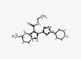 CCOC(=O)c1c(-c2cnn(C3CCOCC3)c2)nn2c1O[C@H](C)CC2